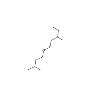 CCC(C)COOCCC(C)C